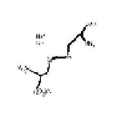 NC(C[Se][Se]CC(N)C(=O)O)C(=O)O.[Na+].[OH-]